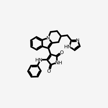 O=C1NC(=O)C(c2c3n(c4ccccc24)CCC(Cc2ncc[nH]2)C3)=C1Nc1ccccc1